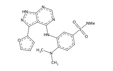 CNS(=O)(=O)c1ccc(N(C)C)c(Nc2ncnc3[nH]nc(-c4ccco4)c23)c1